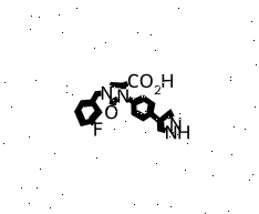 O=C(O)C1CN(Cc2cccc(F)c2)C(=O)N1c1ccc(-c2cn[nH]c2)cc1